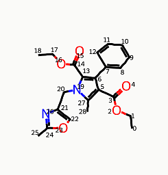 CCOC(=O)c1c(-c2ccccc2)c(C(=O)OCC)n(Cc2coc(C)n2)c1C